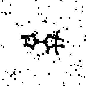 CC1(C)OB(N2C=CNO2)OC1(C)C